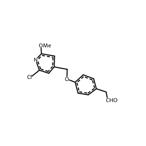 COc1cc(COc2ccc(C[C]=O)cc2)cc(Cl)n1